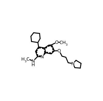 CNc1cc(C2CCCCC2)c2cc(OC)c(OCCCN3CCCC3)cc2n1